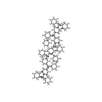 c1ccc(-c2c3c4cccc5c6ccc(N(c7ccccc7)c7cc8c9ccccc9n9c%10ccccc%10c(c7)c89)cc6n(c3c(-c3ccccc3)c3c6cccc7c8ccc(N(c9ccccc9)c9cc%10c%11ccccc%11n%11c%12ccccc%12c(c9)c%10%11)cc8n(c23)c76)c54)cc1